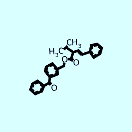 CC(C)C(C=Cc1ccccc1)C(=O)OCc1cccc(C(=O)c2ccccc2)c1